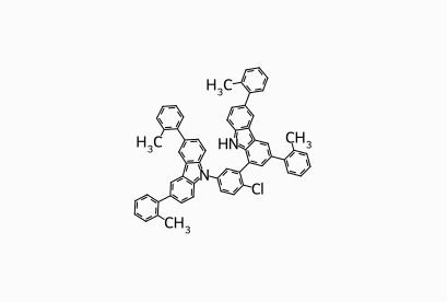 Cc1ccccc1-c1ccc2[nH]c3c(-c4cc(-n5c6ccc(-c7ccccc7C)cc6c6cc(-c7ccccc7C)ccc65)ccc4Cl)cc(-c4ccccc4C)cc3c2c1